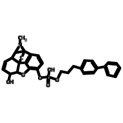 CN1C2C3C=CC(O)C4Oc5c(OP(=O)(O)OCCCc6ccc(-c7ccccc7)cc6)ccc6c5C34CC621